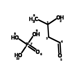 CC(O)CC=O.O=P(O)(O)O